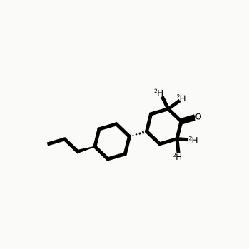 [2H]C1([2H])CC([C@H]2CC[C@H](CCC)CC2)CC([2H])([2H])C1=O